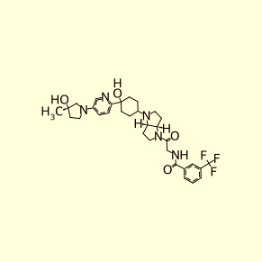 C[C@]1(O)CCN(c2ccc(C3(O)CCC(N4CC[C@H]5[C@@H]4CCN5C(=O)CNC(=O)c4cccc(C(F)(F)F)c4)CC3)nc2)C1